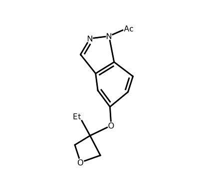 CCC1(Oc2ccc3c(cnn3C(C)=O)c2)COC1